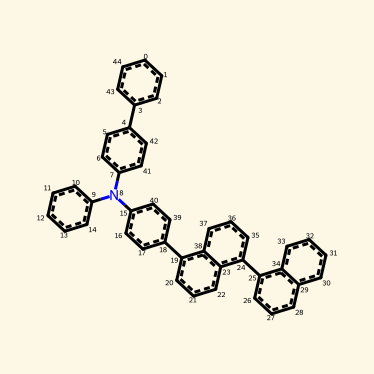 c1ccc(-c2ccc(N(c3ccccc3)c3ccc(-c4cccc5c(-c6cccc7ccccc67)cccc45)cc3)cc2)cc1